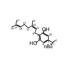 CCCCC(C)c1cc(O)c(CC=C(C)CCC=C(C)C)c(O)c1